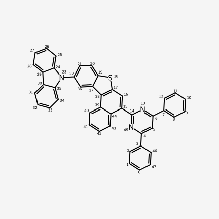 c1ccc(-c2cc(-c3ccccc3)nc(-c3cc4sc5ccc(-n6c7ccccc7c7ccccc76)cc5c4c4ccccc34)n2)cc1